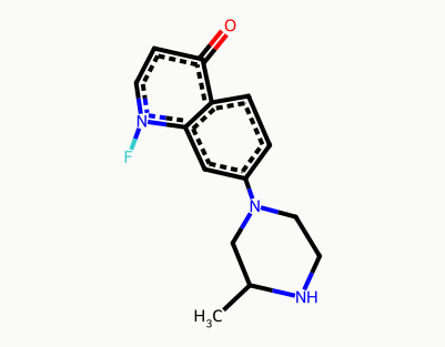 CC1CN(c2ccc3c(=O)ccn(F)c3c2)CCN1